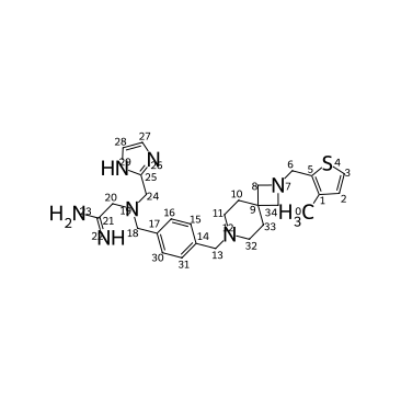 Cc1ccsc1CN1CC2(CCN(Cc3ccc(CN(CC(=N)N)Cc4ncc[nH]4)cc3)CC2)C1